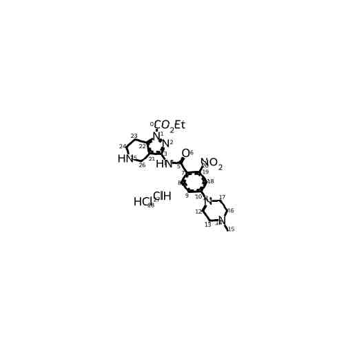 CCOC(=O)n1nc(NC(=O)c2ccc(N3CCN(C)CC3)cc2[N+](=O)[O-])c2c1CCNC2.Cl.Cl